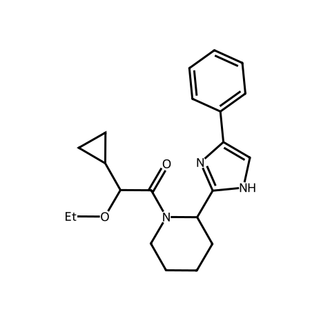 CCOC(C(=O)N1CCCCC1c1nc(-c2ccccc2)c[nH]1)C1CC1